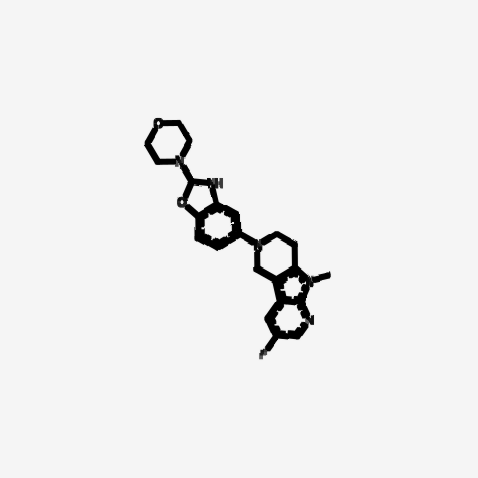 Cn1c2c(c3cc(F)cnc31)CN(c1ccc3c(c1)NC(N1CCOCC1)O3)CC2